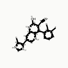 Cc1cccc(-c2c(C#N)c(O)nc3cc(-c4scnc4C)cnc23)c1C